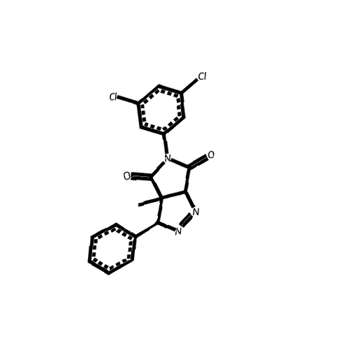 CC12C(=O)N(c3cc(Cl)cc(Cl)c3)C(=O)C1N=NC2c1ccccc1